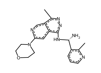 Cc1ncccc1[C@@H](N)Nc1nnc(C)c2cnc(N3CCOCC3)cc12